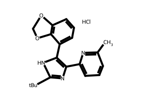 Cc1cccc(-c2nc(C(C)(C)C)[nH]c2-c2cccc3c2OCO3)n1.Cl